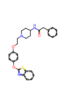 O=C(Cc1ccccc1)NC1CCN(CCOc2ccc(Oc3nc4ccccc4s3)cc2)CC1